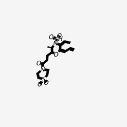 C=C/C=C1/OC(CCC(=O)N2CCS(=O)(=O)CC2)[C@@H](C)N([SH](=O)=O)/C1=C/C